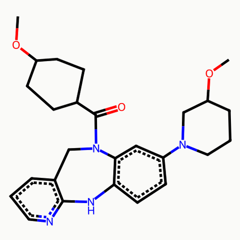 COC1CCC(C(=O)N2Cc3cccnc3Nc3ccc(N4CCCC(OC)C4)cc32)CC1